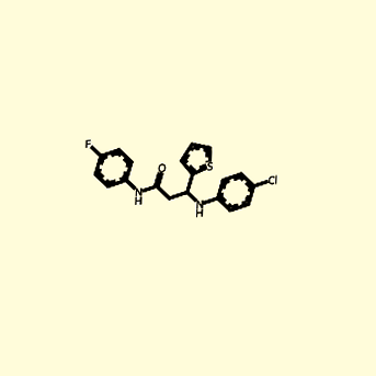 O=C(CC(Nc1ccc(Cl)cc1)c1cccs1)Nc1ccc(F)cc1